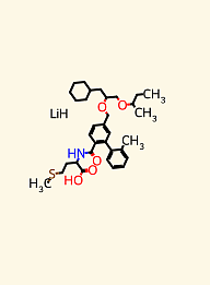 CCC(C)OCC(CC1CCCCC1)OCc1ccc(C(=O)NC(CCSC)C(=O)O)c(-c2ccccc2C)c1.[LiH]